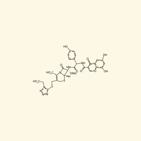 CO[C@@]1(NC(=O)C(NC(=O)c2coc3c(O)cc(O)cc3c2=O)c2ccc(O)cc2)C(=O)N2C(C(=O)O)=C(CSc3nnnn3CC(=O)O)CS[C@H]21